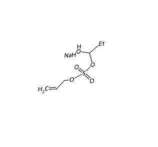 C=CCOS(=O)(=O)OC(O)CC.[NaH]